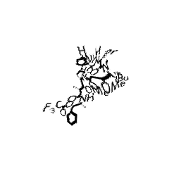 CC[C@H](C)[C@@H]([C@@H](CC(=O)N1CCC[C@H]1[C@H](OC)[C@@H](C)C(=O)N[C@H](C)[C@@H](OC(=O)C(F)(F)F)c1ccccc1)OC)N(C)C(=O)[C@@H](NC(=O)[C@H]1N[C@@H]2CC[C@H]1C2)C(C)C